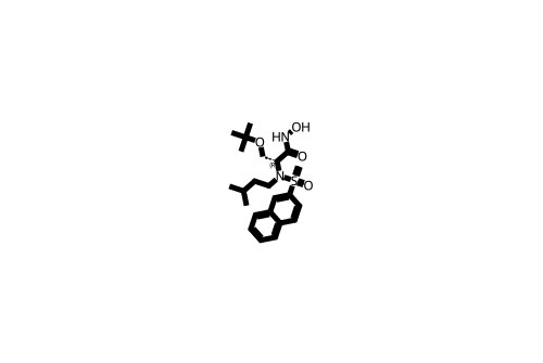 C=S(=O)(c1ccc2ccccc2c1)N(CCC(C)C)[C@H](COC(C)(C)C)C(=O)NO